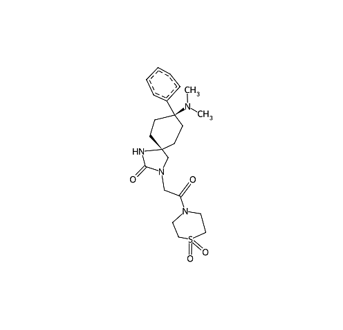 CN(C)[C@]1(c2ccccc2)CC[C@@]2(CC1)CN(CC(=O)N1CCS(=O)(=O)CC1)C(=O)N2